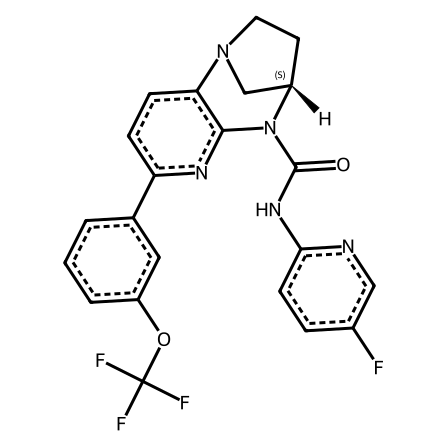 O=C(Nc1ccc(F)cn1)N1c2nc(-c3cccc(OC(F)(F)F)c3)ccc2N2CC[C@H]1C2